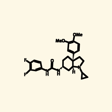 COc1ccc([C@@]23CC[C@@H](NC(=O)Nc4ccc(F)c(F)c4)C[C@@H]2N(C2CC2)CC3)cc1OC